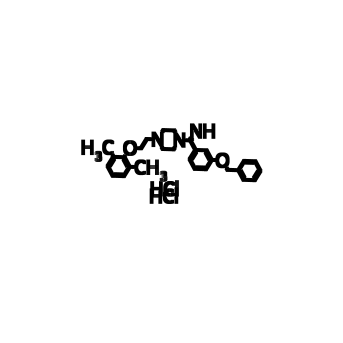 Cc1cccc(C)c1OCCN1CCN(C(=N)c2cccc(OCc3ccccc3)c2)CC1.Cl.Cl